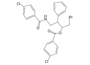 CC(C)CC(OC(=O)c1ccc(Cl)cc1)C(CNC(=O)c1ccc(Cl)cc1)c1ccccc1